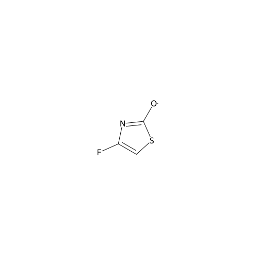 [O]c1nc(F)cs1